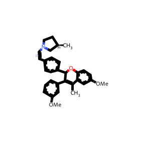 COc1cccc(C2=C(C)c3cc(OC)ccc3OC2c2ccc(/C=C\N3CC[C@@H](C)C3)cc2)c1